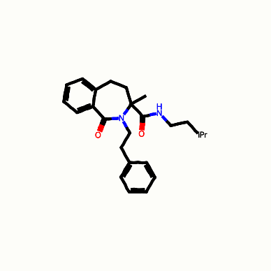 CC(C)CCNC(=O)C1(C)CCc2ccccc2C(=O)N1CCc1ccccc1